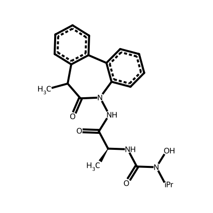 CC1C(=O)N(NC(=O)[C@H](C)NC(=O)N(O)C(C)C)c2ccccc2-c2ccccc21